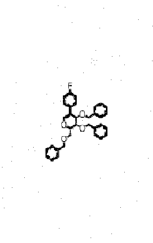 Fc1ccc(C2=CO[C@H](COCc3ccccc3)[C@H](OCc3ccccc3)[C@@H]2OCc2ccccc2)cc1